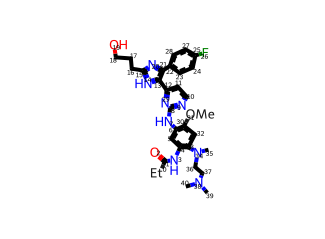 CCC(=O)Nc1cc(Nc2nccc(-c3[nH]c(CCCO)nc3-c3ccc(F)cc3)n2)c(OC)cc1N(C)CCN(C)C